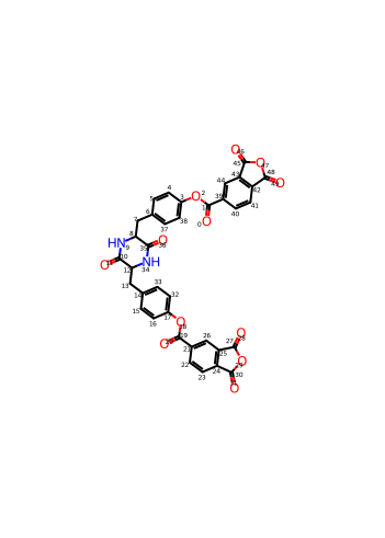 O=C(Oc1ccc(CC2NC(=O)C(Cc3ccc(OC(=O)c4ccc5c(c4)C(=O)OC5=O)cc3)NC2=O)cc1)c1ccc2c(c1)C(=O)OC2=O